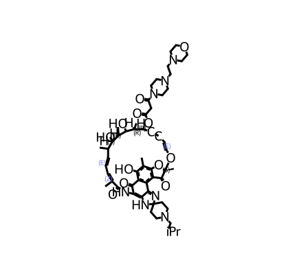 C/C1=C/C=C/C(C)[C@H](O)[C@@H](C)C(O)[C@@H](C)[C@H](OC(=O)CC(=O)N2CCN(CCN3CCOCC3)CC2)CC/C=C/O[C@@]2(C)Oc3c(C)c(O)c4c(c3C2=O)C2=NC3(CCN(CC(C)C)CC3)NC2=C(NC1=O)C4=O